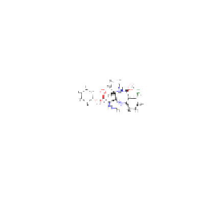 O=C(OC1CCCCC1)c1ncn2c1[C@@H]1CCCN1C(=O)c1c(F)cccc1-2